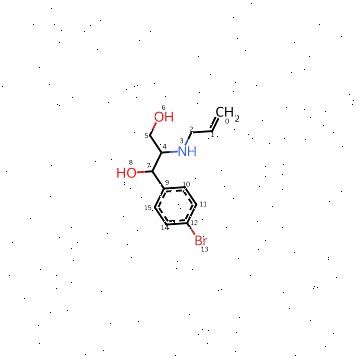 C=CCNC(CO)C(O)c1ccc(Br)cc1